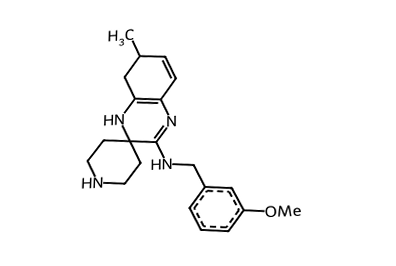 COc1cccc(CNC2=NC3=C(CC(C)C=C3)NC23CCNCC3)c1